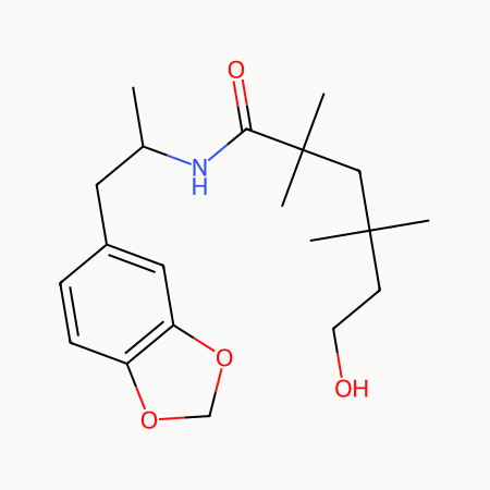 CC(Cc1ccc2c(c1)OCO2)NC(=O)C(C)(C)CC(C)(C)CCO